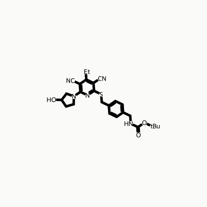 CCc1c(C#N)c(SCc2ccc(CNC(=O)OC(C)(C)C)cc2)nc(N2CCC(O)C2)c1C#N